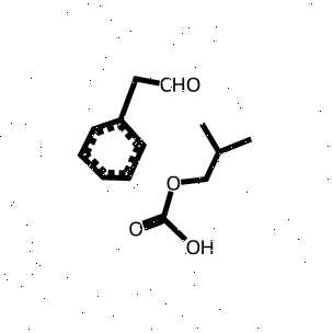 CC(C)COC(=O)O.O=CCc1ccccc1